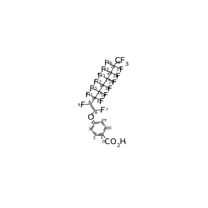 O=C(O)c1ccc(OC(F)=C(F)C(F)(F)C(F)(F)C(F)(F)C(F)(F)C(F)(F)C(F)(F)C(F)(F)F)cc1